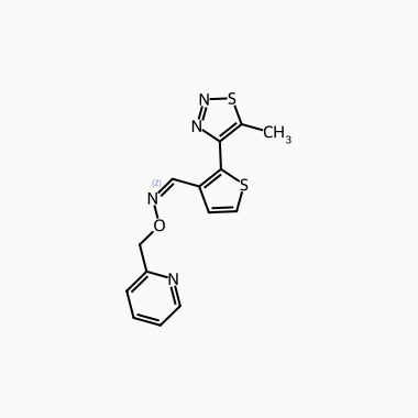 Cc1snnc1-c1sccc1/C=N\OCc1ccccn1